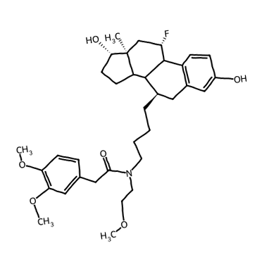 COCCN(CCCC[C@@H]1Cc2cc(O)ccc2C2C1C1CC[C@H](O)[C@@]1(C)C[C@@H]2F)C(=O)Cc1ccc(OC)c(OC)c1